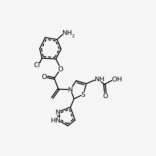 C=C(C(=O)Oc1cc(N)ccc1Cl)N1C=C(NC(=O)O)SC1c1cc[nH]n1